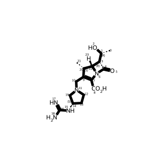 C[C@@H](O)[C@@H]1C(=O)N2C(C(=O)O)=C(CN3CC[C@H](NC(=N)N)C3)[C@H](C)[C@H]12